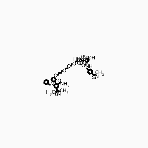 Cc1ncsc1-c1ccc(CNC(=O)[C@@H]2C[C@@H](O)CN2C(=O)C(NC(=O)COCCOCCOCCCCOc2ccc3c(c2)c2c(C(N)=O)cc(-c4c(C)noc4C)cc2n3Cc2ccccc2)C(C)(C)C)cc1